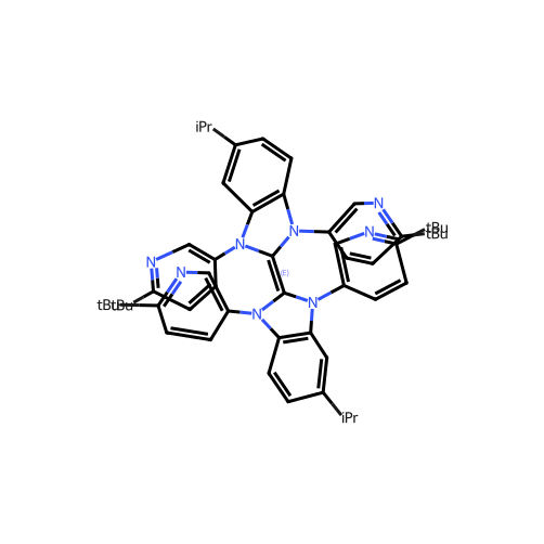 CC(C)c1ccc2c(c1)N(c1ccc(C(C)(C)C)nc1)/C(=C1\N(c3ccc(C(C)(C)C)nc3)c3ccc(C(C)C)cc3N1c1ccc(C(C)(C)C)nc1)N2c1ccc(C(C)(C)C)nc1